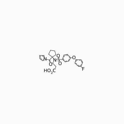 O=C(O)CCN(C1(C(=O)n2cccc2)CCCC1)S(=O)(=O)c1ccc(Oc2ccc(F)cc2)cc1